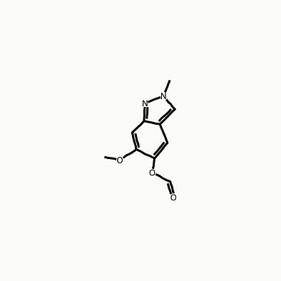 COc1cc2nn(C)cc2cc1OC=O